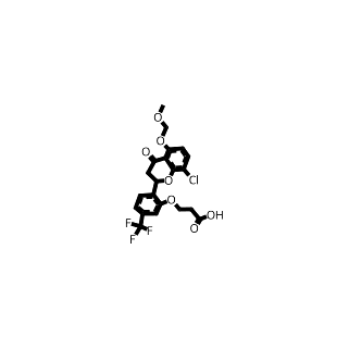 COCOc1ccc(Cl)c2c1C(=O)CC(c1ccc(C(F)(F)F)cc1OCCC(=O)O)O2